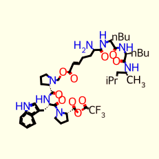 CCCC[C@H](NC(=O)[C@H](CCCC)NC(=O)[C@@H](N)CC/C=C/C(=O)OCN1CCC[C@H]1C(=O)N[C@@H](Cc1c[nH]c2ccccc12)C(=O)N1CCC[C@H]1C(=O)OC(=O)C(F)(F)F)C(=O)N[C@@H](C)CC(C)C